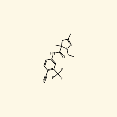 CCN1N=C(C)CC1(C)C(=O)Nc1ccc(C#N)c(C(F)(F)F)c1